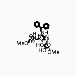 COCCS(=O)(=O)NCc1nc(NCC(c2ccccc2)c2ccccc2)c2ncn([C@@H]3O[C@H](COC)[C@@H](O)[C@H]3O)c2n1